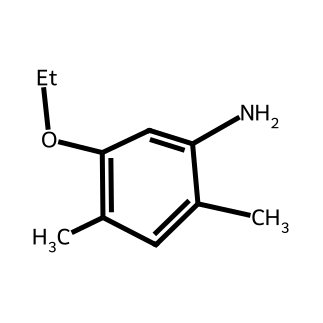 CCOc1cc(N)c(C)cc1C